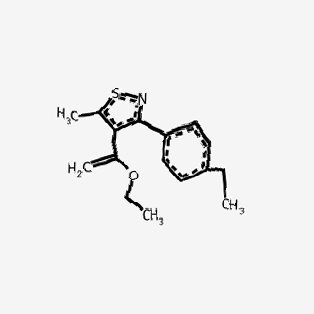 C=C(OCC)c1c(-c2ccc(CC)cc2)nsc1C